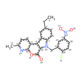 CCc1ccc2c(c1)c1c3ccc(C)nc3oc(=O)c1n2Cc1cc([N+](=O)[O-])ccc1F